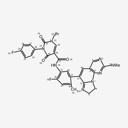 CNc1ncc2c(n1)N1CCN=C1C(c1cc(NC(=O)c3cn(C(C)C)c(=O)n(-c4ccc(F)cc4)c3=O)c(F)cc1C)=C2